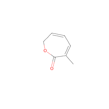 CC1=CC=CCOC1=O